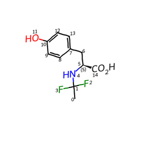 CC(F)(F)N[C@@H](Cc1ccc(O)cc1)C(=O)O